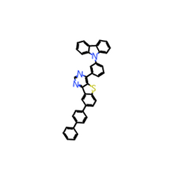 c1ccc(-c2ccc(-c3ccc4sc5c(-c6cccc(-n7c8ccccc8c8ccccc87)c6)ncnc5c4c3)cc2)cc1